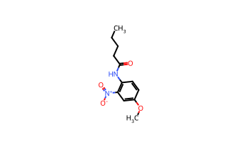 CCCCC(=O)Nc1ccc(OC)cc1[N+](=O)[O-]